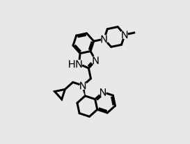 CN1CCN(c2cccc3[nH]c(CN(CC4CC4)[C@@H]4CCCc5cccnc54)nc23)CC1